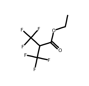 CCOC(=O)C(C(F)(F)F)C(F)(F)F